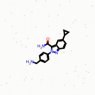 NCc1ccc(-n2nc3ccc(C4CC4)cc3c2C(N)=O)cc1